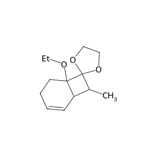 CCOC12CCC=CC1C(C)C21OCCO1